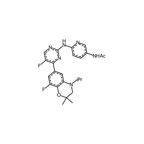 CC(=O)Nc1ccc(Nc2ncc(F)c(-c3cc(F)c4c(c3)N(C(C)C)CC(C)(C)O4)n2)nc1